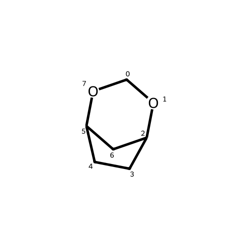 C1OC2CCC(C2)O1